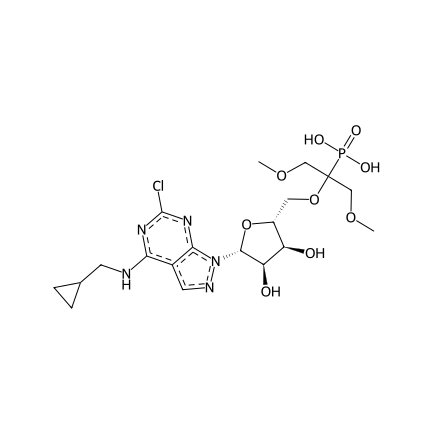 COCC(COC)(OC[C@H]1O[C@@H](n2ncc3c(NCC4CC4)nc(Cl)nc32)[C@H](O)[C@@H]1O)P(=O)(O)O